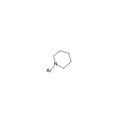 [CH]C(=O)N1CCCCC1